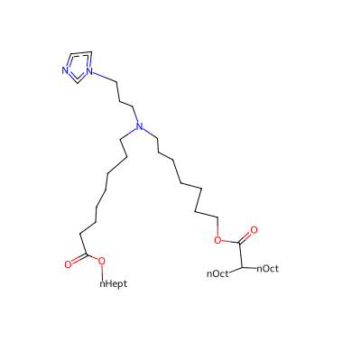 CCCCCCCCC(CCCCCCCC)C(=O)OCCCCCCCN(CCCCCCCC(=O)OCCCCCCC)CCCn1ccnc1